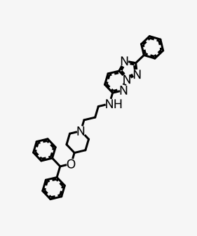 c1ccc(-c2nc3ccc(NCCCN4CCC(OC(c5ccccc5)c5ccccc5)CC4)nn3n2)cc1